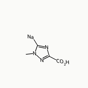 Cn1nc(C(=O)O)n[c]1[Na]